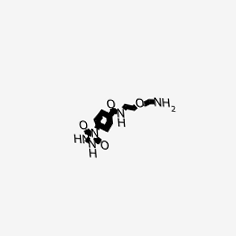 NCCOCCNC(=O)c1ccc(-n2c(=O)[nH][nH]c2=O)cc1